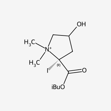 CC(C)COC(=O)[C@]1(I)CC(O)C[N+]1(C)C